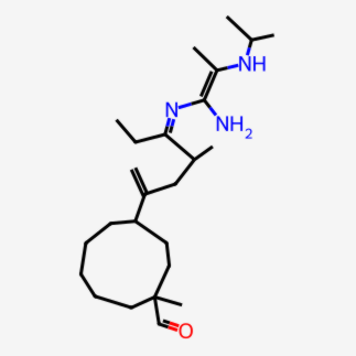 C=C(CC(C)/C(CC)=N\C(N)=C(/C)NC(C)C)C1CCCCCC(C)(C=O)CC1